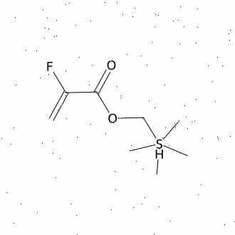 C=C(F)C(=O)OC[SH](C)(C)(C)C